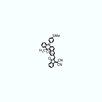 CSc1ccc(N2c3ccccc3C(C)(C)c3c2ccc2cc(/C=C4\C(=O)c5ccccc5C4=C(C#N)C#N)ccc32)cc1